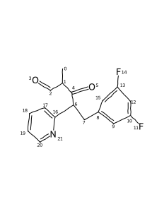 CC(C=O)C(=O)C(Cc1cc(F)cc(F)c1)c1ccccn1